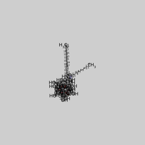 CCCCCCCCCCCCC/C=C/[C@@H](O)[C@H](CO[C@@H]1OC(CO)[C@@H](O[C@@H]2OC(CO)[C@H](O)[C@H](O[C@H]3OC(CO)[C@H](O)[C@H](O[C@@H]4OC(CO)[C@H](O)[C@H](O[C@@H]5OC(CO)[C@H](O)[C@H](O[C@H]6OC(CO)[C@H](O)[C@H](O)C6O)C5O[C@H]5OC(C)[C@@H](O)C(O)[C@@H]5O)C4NC(C)=O)C3O)C2O)[C@H](O)C1O)NC(=O)CCCCCCCCCCCCCCCCCCC